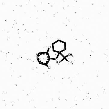 CC(C)(C)C1(Oc2c(Cl)cncc2Cl)CCCCC1